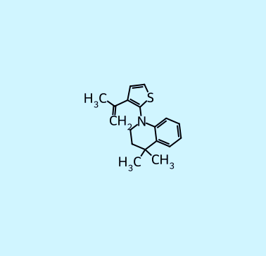 C=C(C)c1ccsc1N1CCC(C)(C)c2ccccc21